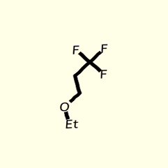 CCOCCC(F)(F)F